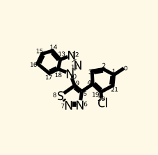 Cc1ccc(-c2nnsc2-n2nnc3ccccc32)c(Cl)c1